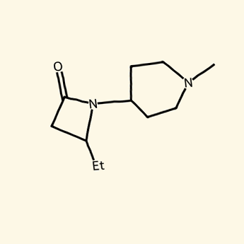 CCC1CC(=O)N1C1CCN(C)CC1